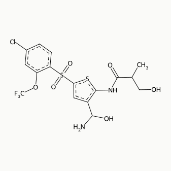 CC(CO)C(=O)Nc1sc(S(=O)(=O)c2ccc(Cl)cc2OC(F)(F)F)cc1C(N)O